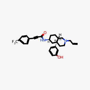 C=CCN1CC[C@@]2(c3cccc(O)c3)C[C@@H](NC(=O)C#Cc3ccc(C(F)(F)F)cc3)CC[C@@H]2C1